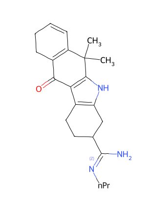 CCC/N=C(\N)C1CCc2c([nH]c3c2C(=O)C2=C(C=CCC2)C3(C)C)C1